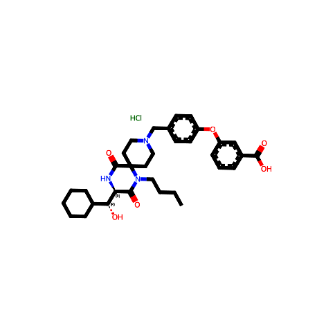 CCCCN1C(=O)[C@@H]([C@H](O)C2CCCCC2)NC(=O)C12CCN(Cc1ccc(Oc3cccc(C(=O)O)c3)cc1)CC2.Cl